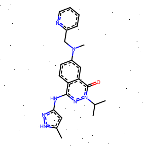 Cc1cc(Nc2nn(C(C)C)c(=O)c3cc(N(C)Cc4ccccn4)ccc23)n[nH]1